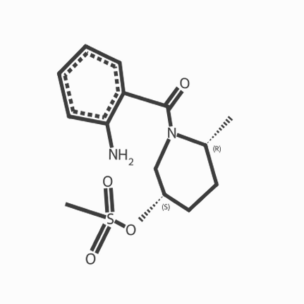 C[C@@H]1CC[C@H](OS(C)(=O)=O)CN1C(=O)c1ccccc1N